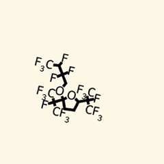 FC(C(F)(F)F)C(F)(F)COC1(C(F)(C(F)(F)F)C(F)(F)F)CCC(C(F)(C(F)(F)F)C(F)(F)F)O1